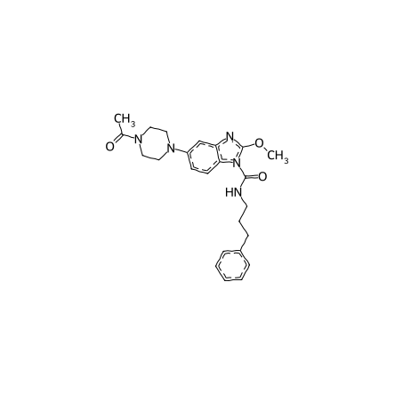 COc1nc2cc(N3CCN(C(C)=O)CC3)ccc2n1C(=O)NCCCc1ccccc1